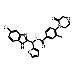 Cc1cc(C(=O)NC(c2nc3cc(Cl)ccc3[nH]2)c2ccco2)ccc1N1CCOCC1=O